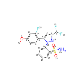 COc1ccc(-c2cc(C(F)F)nn2-c2ccccc2S(N)(=O)=O)c(F)c1